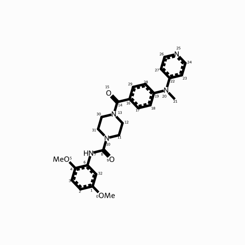 COc1ccc(OC)c(NC(=O)N2CCN(C(=O)c3ccc(N(C)c4ccncc4)cc3)CC2)c1